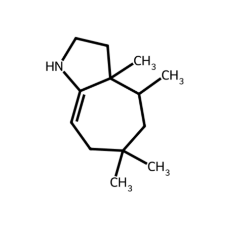 CC1CC(C)(C)CC=C2NCCC21C